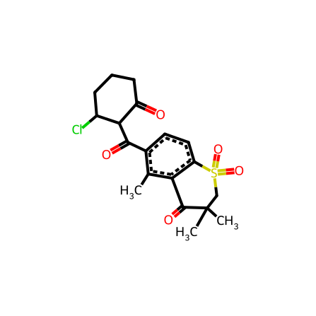 Cc1c(C(=O)C2C(=O)CCCC2Cl)ccc2c1C(=O)C(C)(C)CS2(=O)=O